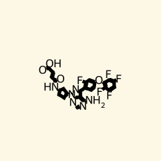 Nc1ncnc2c1c(-c1ccc(Oc3c(F)c(F)cc(F)c3F)cc1F)nn2[C@H]1CCC(NC(=O)C=CC(=O)O)C1